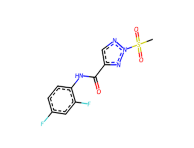 CS(=O)(=O)n1ncc(C(=O)Nc2ccc(F)cc2F)n1